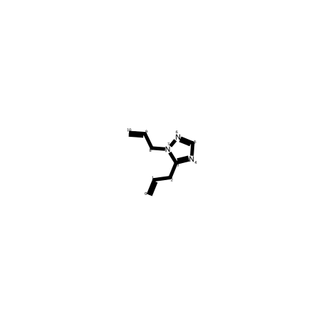 C=CCc1n[c]nn1CC=C